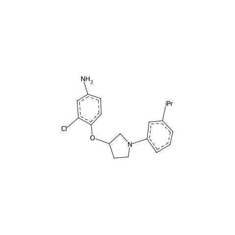 CC(C)c1cccc(N2CCC(Oc3ccc(N)cc3Cl)C2)c1